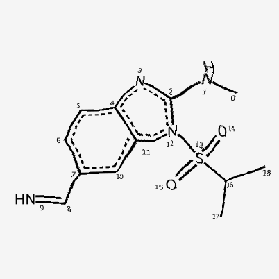 CNc1nc2ccc(C=N)cc2n1S(=O)(=O)C(C)C